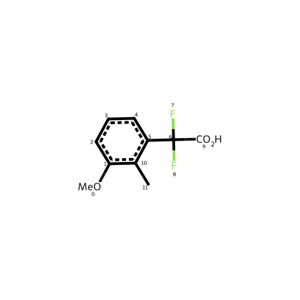 COc1cccc(C(F)(F)C(=O)O)c1C